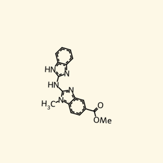 COC(=O)c1ccc2c(c1)nc(Nc1nc3ccccc3[nH]1)n2C